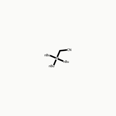 CCCC[P+](CC#N)(CCCC)CCCC